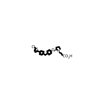 O=C(O)CCCN1CCC[C@@H]1COc1ccc(Cc2ccc(-c3ccc(Cl)s3)cc2)cc1